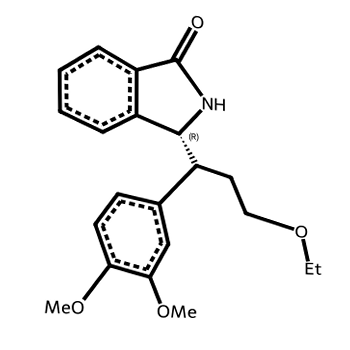 CCOCCC(c1ccc(OC)c(OC)c1)[C@H]1NC(=O)c2ccccc21